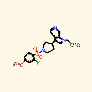 CC(C)Oc1ccc(S(=O)(=O)N2CCC(c3cn(CC=O)c4cnccc34)CC2)c(F)c1